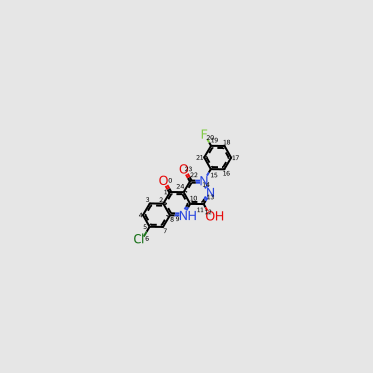 O=c1c2ccc(Cl)cc2[nH]c2c(O)nn(-c3cccc(F)c3)c(=O)c12